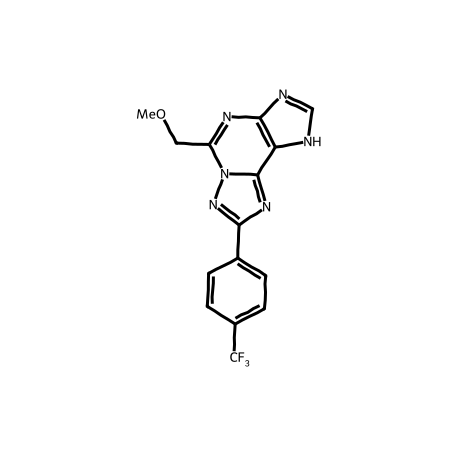 COCc1nc2nc[nH]c2c2nc(-c3ccc(C(F)(F)F)cc3)nn12